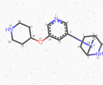 c1ncc(N2CC3CCC(C2)NC3)cc1OC1CCNCC1